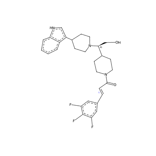 O=C(/C=C/c1cc(F)c(F)c(F)c1)N1CCC([C@H](CO)N2CCC(c3c[nH]c4ccccc34)CC2)CC1